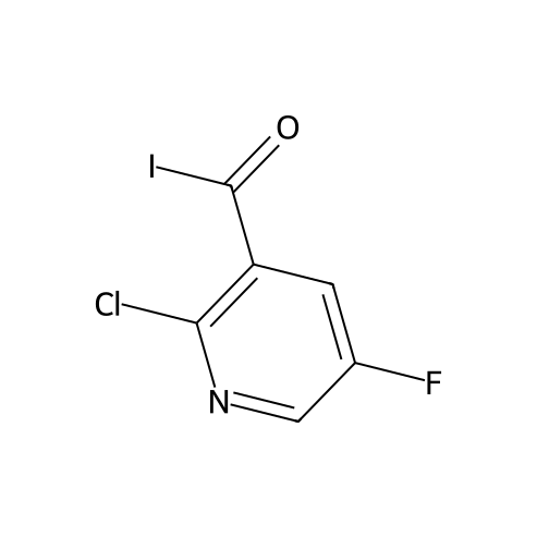 O=C(I)c1cc(F)cnc1Cl